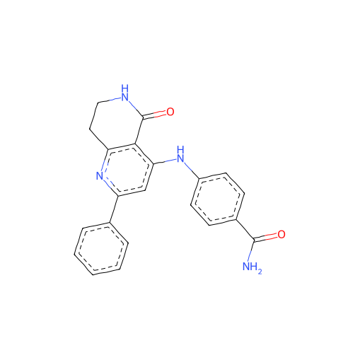 NC(=O)c1ccc(Nc2cc(-c3ccccc3)nc3c2C(=O)NCC3)cc1